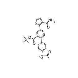 CC(=O)C1(c2ccc(-c3ccc(-c4sccc4C(N)=O)cc3C(=O)OC(C)(C)C)cc2)CC1